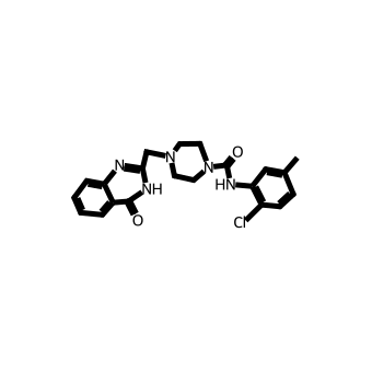 Cc1ccc(Cl)c(NC(=O)N2CCN(Cc3nc4ccccc4c(=O)[nH]3)CC2)c1